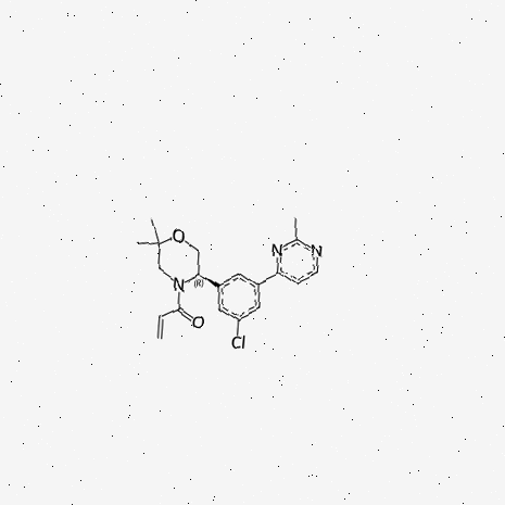 C=CC(=O)N1CC(C)(C)OC[C@H]1c1cc(Cl)cc(-c2ccnc(C)n2)c1